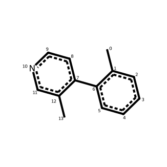 Cc1ccccc1-c1ccncc1C